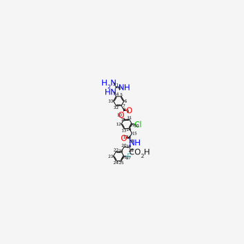 N=C(N)Nc1ccc(C(=O)Oc2ccc(CC(=O)N[C@@H](Cc3ccccc3F)C(=O)O)c(Cl)c2)cc1